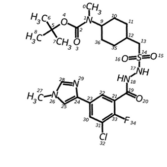 CN(C(=O)OC(C)(C)C)C1CCC(CS(=O)(=O)NNC(=O)c2cc(-c3cn(C)cn3)cc(Cl)c2F)CC1